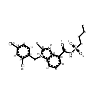 CCCCS(=O)(=O)NC(=O)c1cccc2c1nc(C)n2Cc1ccc(Cl)cc1Cl